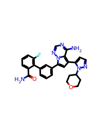 NC(=O)c1cccc(F)c1-c1cccc(-c2cc(-c3ccnn3C3CCOCC3)c3c(N)ncnn23)c1